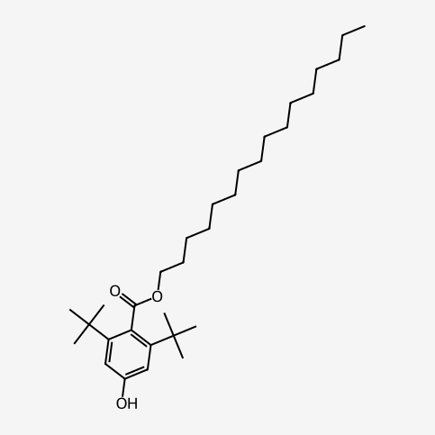 CCCCCCCCCCCCCCCCOC(=O)c1c(C(C)(C)C)cc(O)cc1C(C)(C)C